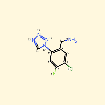 NCc1cc(Cl)c(F)cc1-n1cnnn1